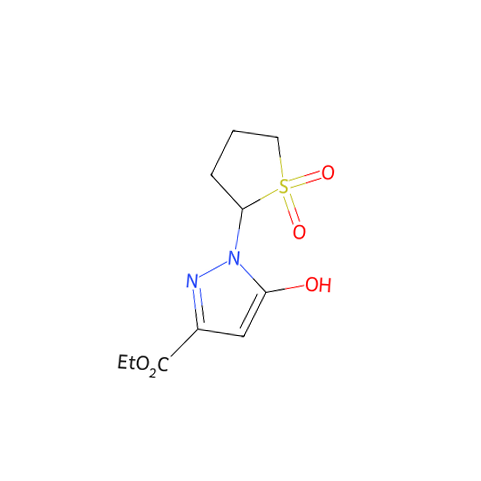 CCOC(=O)c1cc(O)n(C2CCCS2(=O)=O)n1